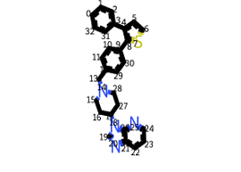 c1ccc(-c2ccsc2-c2ccc(CN3CCC(n4cnc5cccnc54)CC3)cc2)cc1